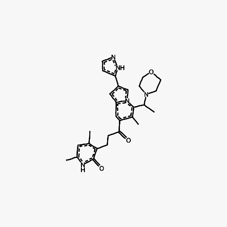 Cc1cc(C)c(CCC(=O)c2cc3cc(-c4ccn[nH]4)cn3c(C(C)N3CCOCC3)c2C)c(=O)[nH]1